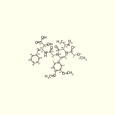 COCC(=O)N1C=C(c2ccc(OC)c(OC)c2)N(CC(=O)N[C@@H](Cc2ccccc2)C(O)C(=O)O)C(=O)C1C(C)C